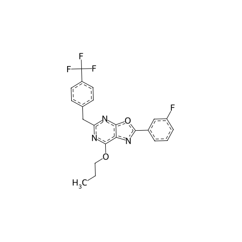 CCCOc1nc(Cc2ccc(C(F)(F)F)cc2)nc2oc(-c3cccc(F)c3)nc12